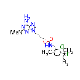 CNc1nc(N)c2ncn(CCCCOC(=O)NCc3c(C)ccc(C(C)(C)F)c3Cl)c2n1